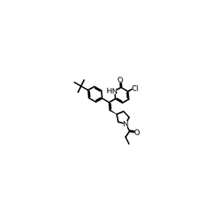 CCC(=O)N1CC[C@H](/C=C(/c2ccc(C(C)(C)C)cc2)c2ccc(Cl)c(=O)[nH]2)C1